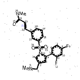 CNCc1cc(-c2ccc(F)cc2F)n(S(=O)(=O)c2cccc(/C=C/C(=O)NC)c2)c1